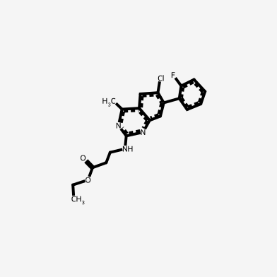 CCOC(=O)CCNc1nc(C)c2cc(Cl)c(-c3ccccc3F)cc2n1